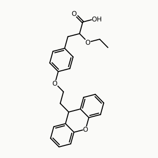 CCOC(Cc1ccc(OCCC2c3ccccc3Oc3ccccc32)cc1)C(=O)O